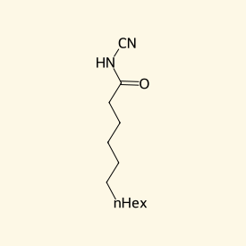 CCCCCCCCCCCC(=O)NC#N